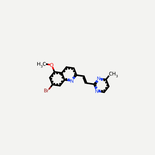 COc1cc(Br)cc2nc(C=Cc3nccc(C)n3)ccc12